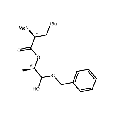 CN[C@@H](CC(C)(C)C)C(=O)O[C@H](C)C(O)OCc1ccccc1